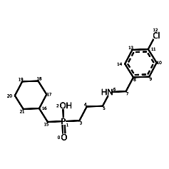 O=P(O)(CCCNCc1ccc(Cl)cc1)CC1CCCCC1